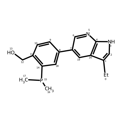 CCc1c[nH]c2ncc(-c3ccc(CO)c(P(C)C)c3)cc12